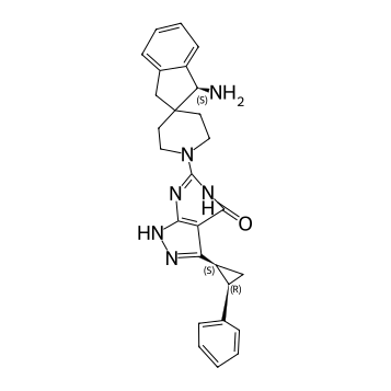 N[C@@H]1c2ccccc2CC12CCN(c1nc3[nH]nc([C@H]4C[C@H]4c4ccccc4)c3c(=O)[nH]1)CC2